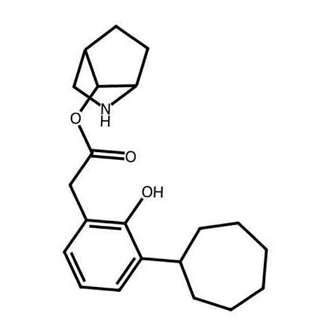 O=C(Cc1cccc(C2CCCCCC2)c1O)OC1C2CCC1NC2